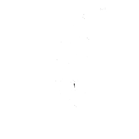 Nc1cnc(-c2ccc(-c3ccccc3S(=O)(=O)N[C@H]3CCNC3)cc2F)cn1